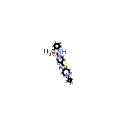 Cc1ccccc1NC(=O)N1CCC(c2nc3c(s2)CCN(C2=CC=C2)CC3)CC1